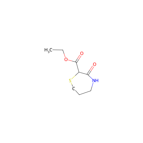 CCOC(=O)C1SCCCNC1=O